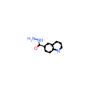 NNC(=O)c1ccc2ncccc2c1